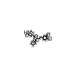 CC(CCN1CCNC(=O)C1)(C(=O)/C=C/c1ccc(Cl)c(Cl)c1)N1CCCC1